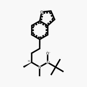 C[C@@H](CCc1ccc2occc2c1)N(C)[S+]([O-])C(C)(C)C